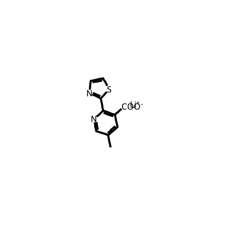 Cc1cnc(-c2nccs2)c(C(=O)[O-])c1.[Li+]